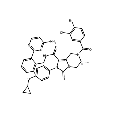 C[C@@H]1Cn2c(c(C(=O)NCc3c(F)cccc3-c3nccc(N)n3)n(-c3ccc(OC4CC4)cc3)c2=O)CN1C(=O)c1ccc(Br)c(Cl)c1